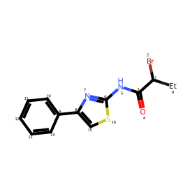 CCC(Br)C(=O)Nc1nc(-c2ccccc2)cs1